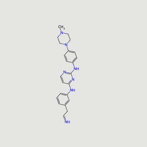 CN1CCN(c2ccc(Nc3nccc(Nc4cccc(CC=N)c4)n3)cc2)CC1